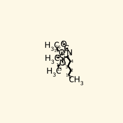 CCCCCC(N=C=O)[Si](C)(OCC)OCC